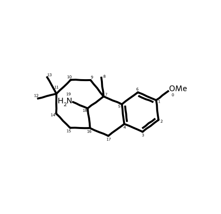 COc1ccc2c(c1)C1(C)CCC(C)(C)CCC(C2)C1N